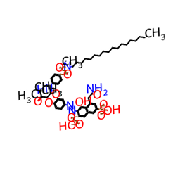 CCCCCCCCCCCCCCCCCCN(C)S(=O)(=O)c1ccc(NC(=O)C(Oc2ccc(N=Nc3c(S(=O)(=O)O)cc4cc(S(=O)(=O)O)cc(CC(N)=O)c4c3O)cc2)C(=O)C(C)(C)C)cc1